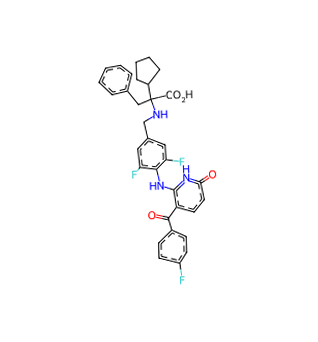 O=C(c1ccc(F)cc1)c1ccc(=O)[nH]c1Nc1c(F)cc(CNC(Cc2ccccc2)(C(=O)O)C2CCCC2)cc1F